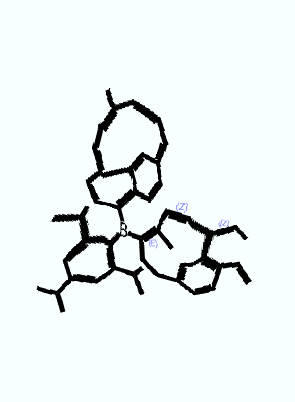 C=Cc1ccc2cc1C(=C\C)/C=C\C(C)=C(/B(c1c(C(C)C)cc(C(C)C)cc1C(C)C)c1ccc3ccc(C)cccc4ccc1c3c4)CC2